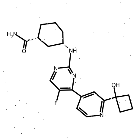 NC(=O)[C@@H]1CCC[C@H](Nc2ncc(F)c(-c3ccnc(C4(O)CCC4)c3)n2)C1